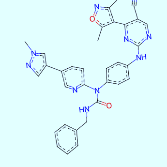 Cc1noc(C)c1-c1nc(Nc2ccc(N(C(=O)NCc3ccccc3)c3ccc(-c4cnn(C)c4)cn3)cc2)ncc1C#N